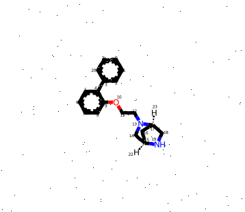 c1ccc(-c2ccccc2OCCN2C[C@H]3C[C@@H]2CN3)cc1